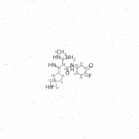 CN/C(N)=C(\C(=N)C1CCC2(CNC2)C1)C(=O)Nc1ccc(F)c(Cl)c1